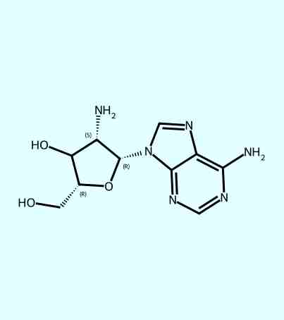 Nc1ncnc2c1ncn2[C@@H]1O[C@H](CO)C(O)[C@@H]1N